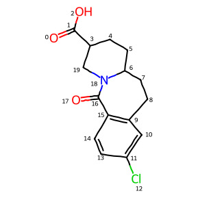 O=C(O)C1CCC2CCc3cc(Cl)ccc3C(=O)N2C1